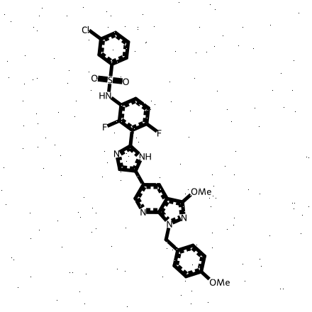 COc1ccc(Cn2nc(OC)c3cc(-c4cnc(-c5c(F)ccc(NS(=O)(=O)c6cccc(Cl)c6)c5F)[nH]4)cnc32)cc1